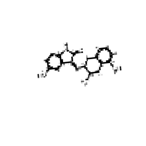 O=C1Nc2ccc(O)cc2C1=CC1Cc2cccc(O)c2CC1O